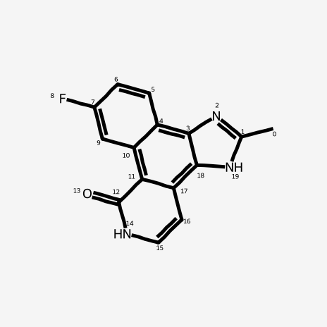 Cc1nc2c3ccc(F)cc3c3c(=O)[nH]ccc3c2[nH]1